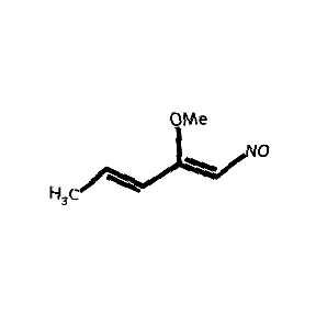 C/C=C/C(=C/N=O)OC